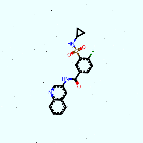 O=C(Nc1cnc2ccccc2c1)c1ccc(F)c(S(=O)(=O)NC2CC2)c1